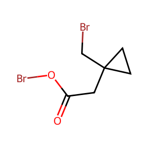 O=C(CC1(CBr)CC1)OBr